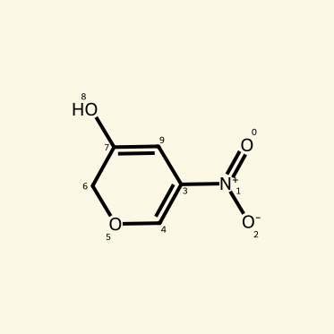 O=[N+]([O-])C1=COCC(O)=C1